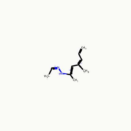 C=C/C=C(C)\C=C(/C)N/N=C\C